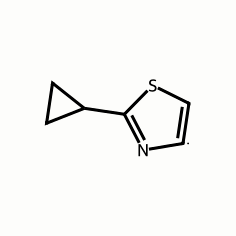 [c]1csc(C2CC2)n1